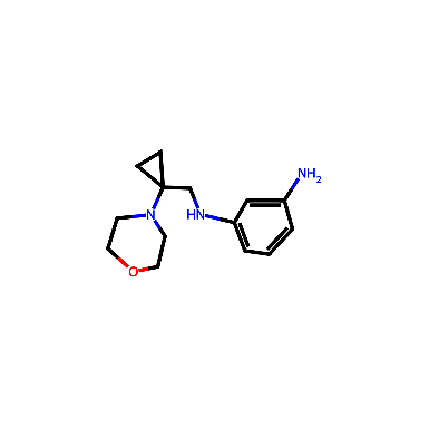 Nc1cccc(NCC2(N3CCOCC3)CC2)c1